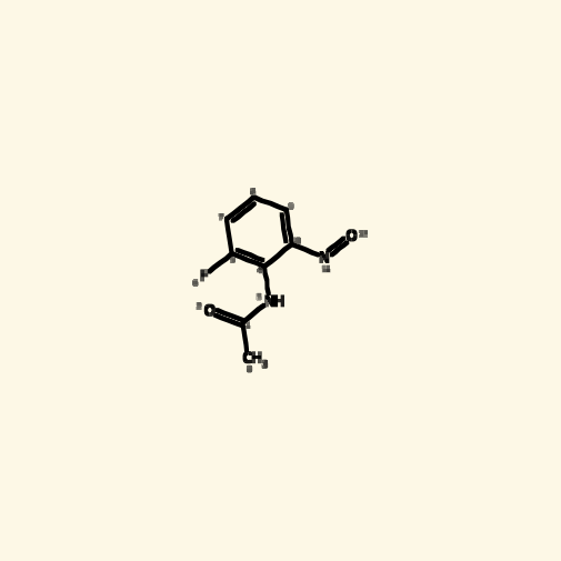 CC(=O)Nc1c(F)cccc1N=O